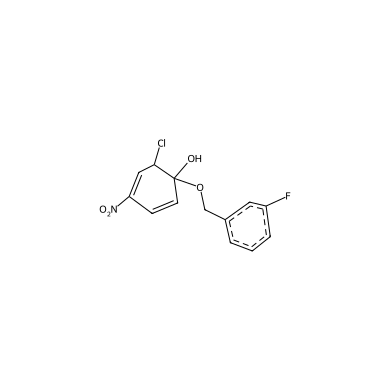 O=[N+]([O-])C1=CC(Cl)C(O)(OCc2cccc(F)c2)C=C1